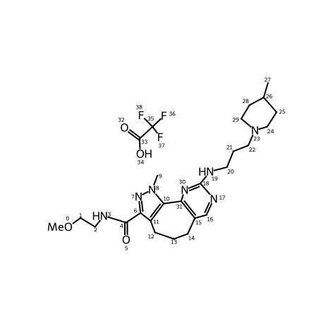 COCCNC(=O)c1nn(C)c2c1CCCc1cnc(NCCCN3CCC(C)CC3)nc1-2.O=C(O)C(F)(F)F